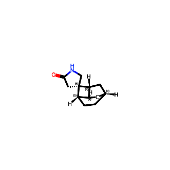 O=C1C[C@]2(CN1)[C@@H]1C[C@@H]3CC[C@H]2[C@H]1C3